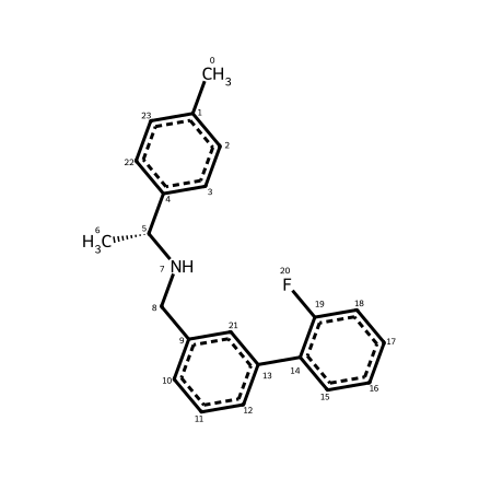 Cc1ccc([C@@H](C)NCc2cccc(-c3ccccc3F)c2)cc1